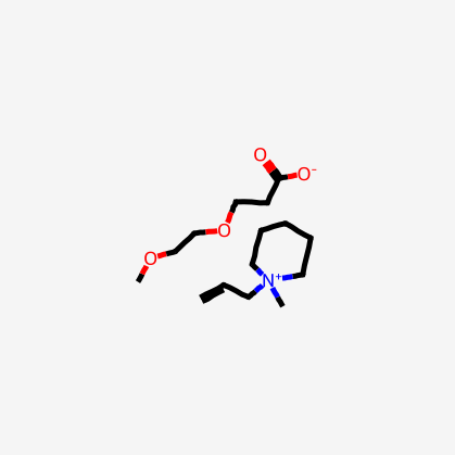 C=CC[N+]1(C)CCCCC1.COCCOCCC(=O)[O-]